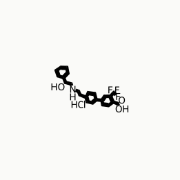 Cl.O=C(O)c1ccc(-c2ccc(CCNC[C@@H](O)c3ccccc3)cc2)cc1C(F)(F)F